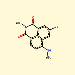 CCCCNc1ccc2c3c(cc(Br)cc13)C(=O)N(CCCC)C2=O